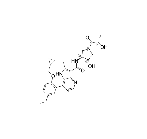 CCc1ccc(OCC2CC2)c(-c2ncnc3c(C(=O)N[C@H]4CN(C(=O)[C@H](C)O)C[C@@H]4O)c(C)[nH]c23)c1